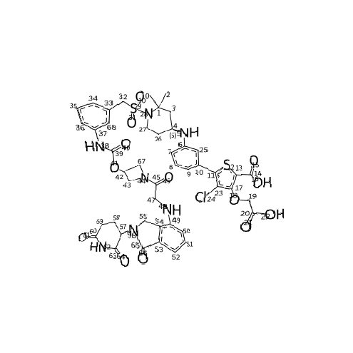 CC1(C)C[C@@H](Nc2cccc(-c3sc(C(=O)O)c(OCC(=O)O)c3Cl)c2)CCN1S(=O)(=O)Cc1cccc(NC(=O)OC2CN(C(=O)CNc3cccc4c3CN(C3CCC(=O)NC3=O)C4=O)C2)c1